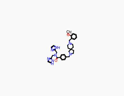 COc1ccccc1CN1CCC2(CC1)CCN(Cc1ccc(C(=O)N(Cc3ncc[nH]3)Cc3ncc[nH]3)cc1)C2